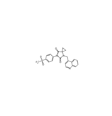 O=C1N(c2ccc(S(=O)(=O)C(F)(F)F)cc2)C(=O)C2(CC2)N1Cc1ccnc2ccccc12